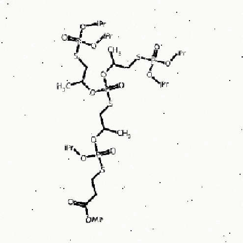 COC(=O)CCSP(=O)(OC(C)C)OC(C)CSP(=O)(OC(C)CSP(=O)(OC(C)C)OC(C)C)OC(C)CSP(=O)(OC(C)C)OC(C)C